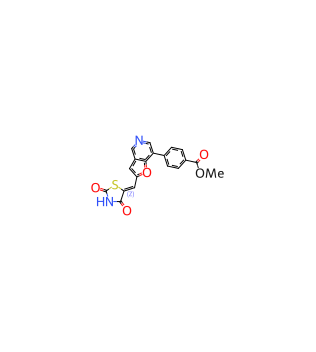 COC(=O)c1ccc(-c2cncc3cc(/C=C4\SC(=O)NC4=O)oc23)cc1